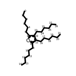 CCCCCCc1oc(CCCCCC)c(CCCCCC)c1CCCCCC